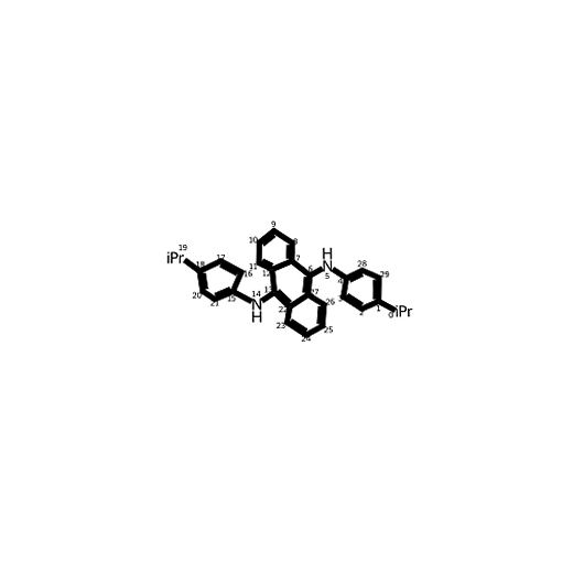 CC(C)c1ccc(Nc2c3ccccc3c(Nc3ccc(C(C)C)cc3)c3ccccc23)cc1